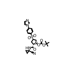 CC(C)(C)OC(=O)ON1C[C@H](S(=O)(=O)c2ccc(-n3ccnc3)cc2)C[C@H]1C(=O)NC1(C#N)CC1